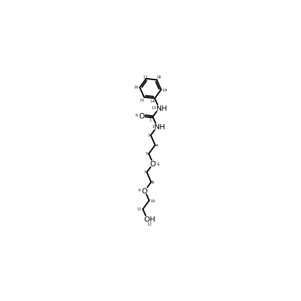 O=C(NCCCOCCOCCO)Nc1ccccc1